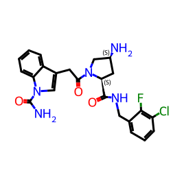 NC(=O)n1cc(CC(=O)N2C[C@@H](N)C[C@H]2C(=O)NCc2cccc(Cl)c2F)c2ccccc21